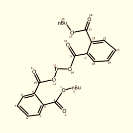 CCCCOC(=O)c1ccccc1C(=O)[O][Ti][O]C(=O)c1ccccc1C(=O)OCCCC